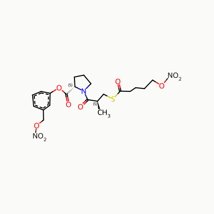 C[C@H](CSC(=O)CCCCO[N+](=O)[O-])C(=O)N1CCC[C@H]1C(=O)Oc1cccc(CO[N+](=O)[O-])c1